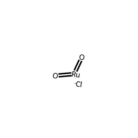 [Cl].[O]=[Ru]=[O]